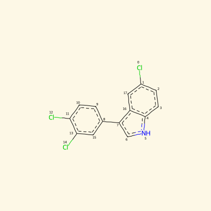 Clc1ccc2[nH]cc(-c3ccc(Cl)c(Cl)c3)c2c1